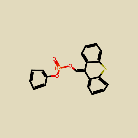 O=[PH](OC=C1c2ccccc2Sc2ccccc21)Oc1ccccc1